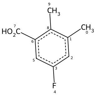 Cc1cc(F)cc(C(=O)O)c1C